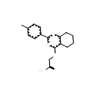 O=C(O)COc1nc(-c2ccc(Cl)cc2)nc2c1CCCC2